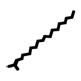 [CH2]C(C)=CCCCCCCCCCCCCCCCC